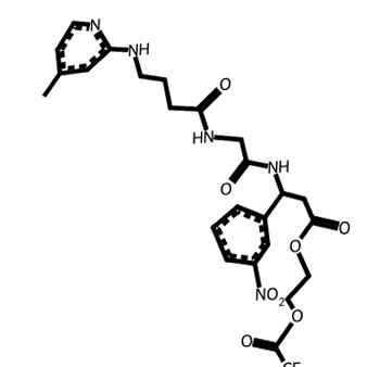 Cc1ccnc(NCCCC(=O)NCC(=O)NC(CC(=O)OCCOC(=O)C(F)(F)F)c2cccc([N+](=O)[O-])c2)c1